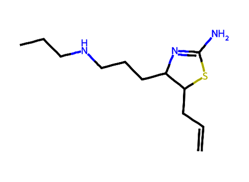 C=CCC1SC(N)=NC1CCCNCCC